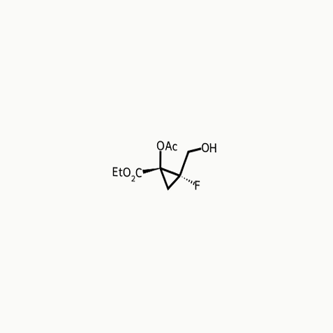 CCOC(=O)[C@]1(OC(C)=O)C[C@]1(F)CO